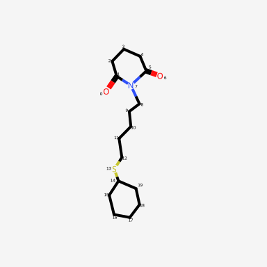 O=C1CCCC(=O)N1CCCCCSC1CCCCC1